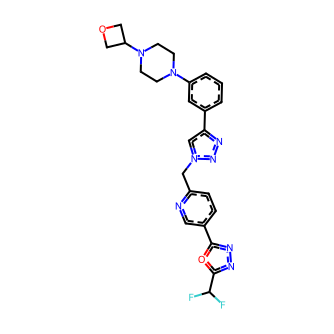 FC(F)c1nnc(-c2ccc(Cn3cc(-c4cccc(N5CCN(C6COC6)CC5)c4)nn3)nc2)o1